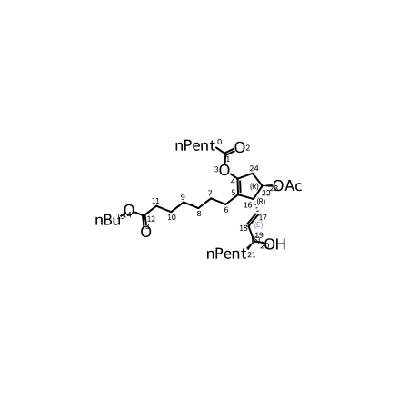 CCCCCC(=O)OC1=C(CCCCCCC(=O)OCCCC)[C@@H](/C=C/[C@@H](O)CCCCC)[C@H](OC(C)=O)C1